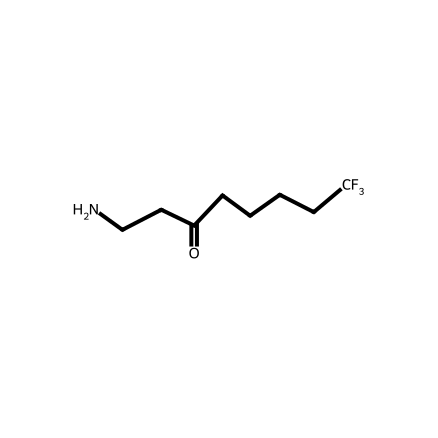 NCCC(=O)CCCCC(F)(F)F